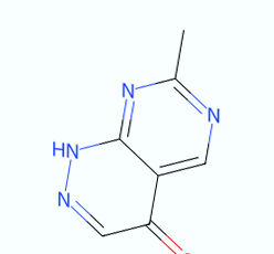 Cc1ncc2c(=O)cn[nH]c2n1